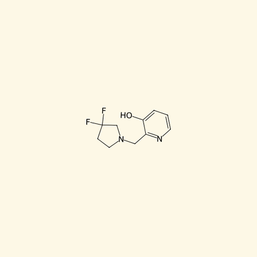 Oc1cccnc1CN1CCC(F)(F)C1